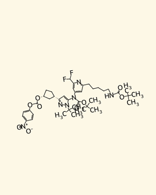 CC(C)(C)OC(=O)NCCCCCc1cc(N(C(=O)OC(C)(C)C)c2cc([C@H]3CC[C@@H](OC(=O)Oc4ccc([N+](=O)[O-])cc4)C3)nn2C(C)(C)C)cc(C(F)F)n1